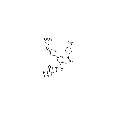 CCN(c1cc(-c2ccc(OCCOC)cc2)cc(C(=O)NCc2c(C)[nH][nH]c2=O)c1C)C1CCC(N(C)C)CC1